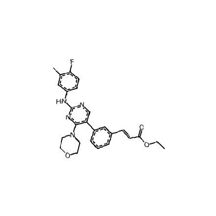 CCOC(=O)/C=C/c1cccc(-c2cnc(Nc3ccc(F)c(C)c3)nc2N2CCOCC2)c1